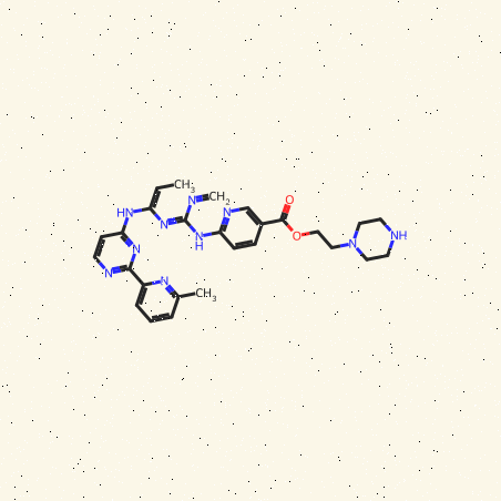 C=N/C(=N\C(=C/C)Nc1ccnc(-c2cccc(C)n2)n1)Nc1ccc(C(=O)OCCN2CCNCC2)cn1